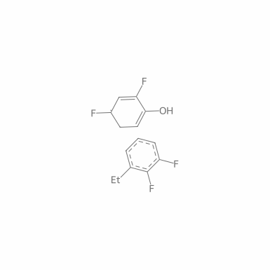 CCc1cccc(F)c1F.OC1=CC[C](F)C=C1F